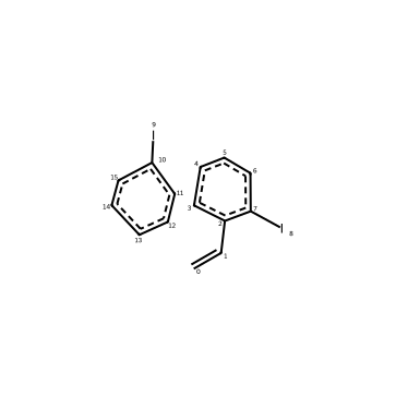 C=Cc1ccccc1I.Ic1ccccc1